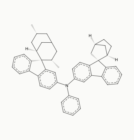 C[C@@H]1CC2C[C@H](C1)[C@@]1(c3ccccc3-c3ccc(N(c4ccccc4)c4ccc5c(c4)-c4ccccc4[C@@]54C[C@H]5CC[C@@H]4C5)cc31)[C@@H](C)C2